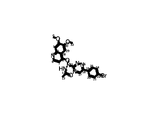 COc1cc2nccc(ON(NC(C)=O)c3ncc(-c4ccc(Br)cc4)nn3)c2cc1OC